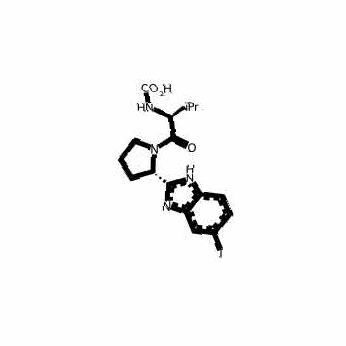 CC(C)[C@H](NC(=O)O)C(=O)N1CCC[C@H]1c1nc2cc(I)ccc2[nH]1